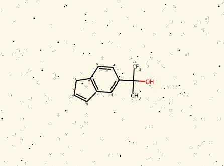 CC(O)(c1ccc2c(c1)C=CC2)C(F)(F)F